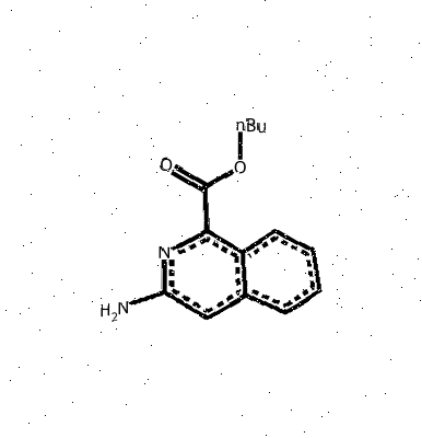 CCCCOC(=O)c1nc(N)cc2ccccc12